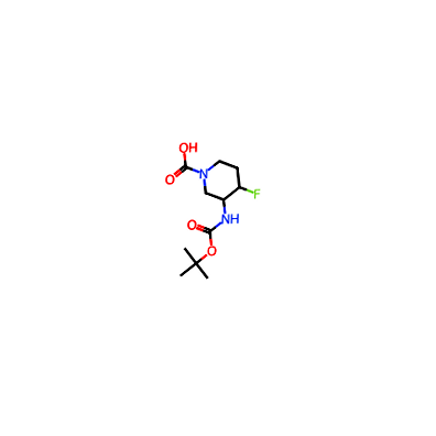 CC(C)(C)OC(=O)NC1CN(C(=O)O)CCC1F